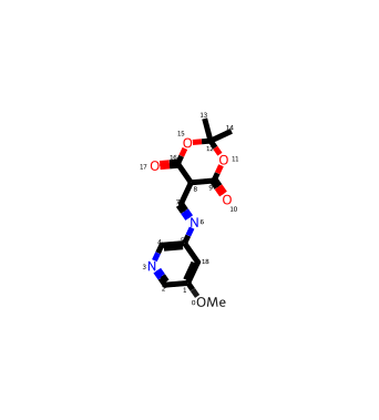 COc1cncc(/N=C/C2C(=O)OC(C)(C)OC2=O)c1